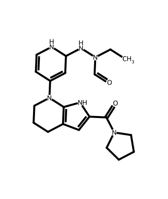 CCN(C=O)NC1C=C(N2CCCc3cc(C(=O)N4CCCC4)[nH]c32)C=CN1